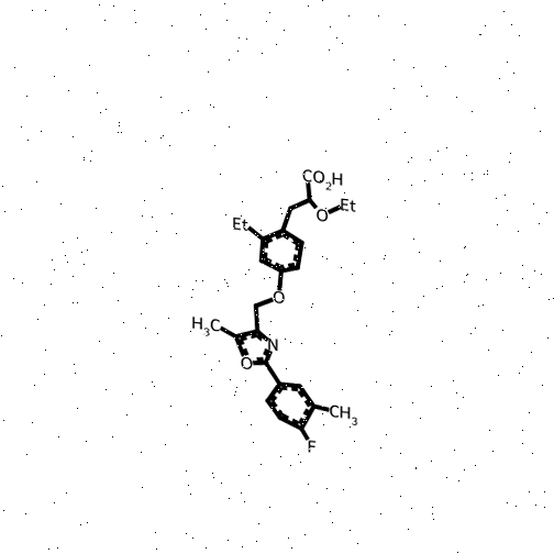 CCOC(Cc1ccc(OCc2nc(-c3ccc(F)c(C)c3)oc2C)cc1CC)C(=O)O